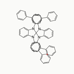 c1ccc(-c2cccc(N3c4ccccc4N(c4cccc(-c5ccccc5)c4)C34N(c3cccc(-c5ccccc5)c3)c3ccccc3N4c3cccc(-c4ccccc4)c3)c2)cc1